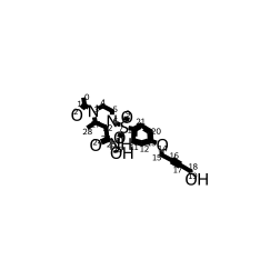 CC(=O)N1CCN(S(=O)(=O)c2ccc(OCC#CCO)cc2)C(C(=O)NO)C1C